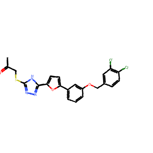 CC(=O)CSc1nnc(-c2ccc(-c3cccc(OCc4ccc(Cl)c(Cl)c4)c3)o2)[nH]1